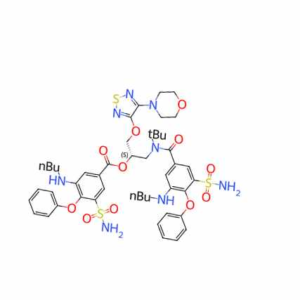 CCCCNc1cc(C(=O)O[C@H](COc2nsnc2N2CCOCC2)CN(C(=O)c2cc(NCCCC)c(Oc3ccccc3)c(S(N)(=O)=O)c2)C(C)(C)C)cc(S(N)(=O)=O)c1Oc1ccccc1